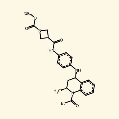 CCC(=O)N1c2ccccc2[C@H](Nc2ccc(NC(=O)C3CN(C(=O)OC(C)(C)C)C3)cc2)C[C@@H]1C